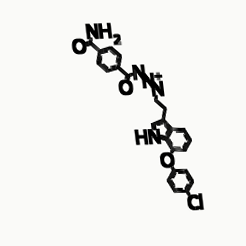 NC(=O)c1ccc(C(=O)N=[N+]=NCCc2c[nH]c3c(Oc4ccc(Cl)cc4)cccc23)cc1